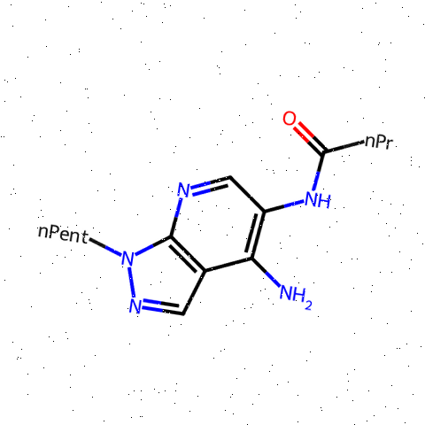 CCCCCn1ncc2c(N)c(NC(=O)CCC)cnc21